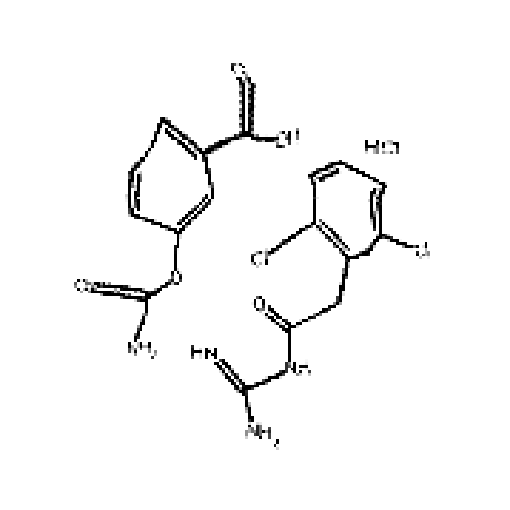 Cl.N=C(N)NC(=O)Cc1c(Cl)cccc1Cl.NC(=O)Oc1cccc(C(=O)O)c1